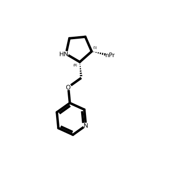 CCC[C@H]1CCN[C@H]1COc1cccnc1